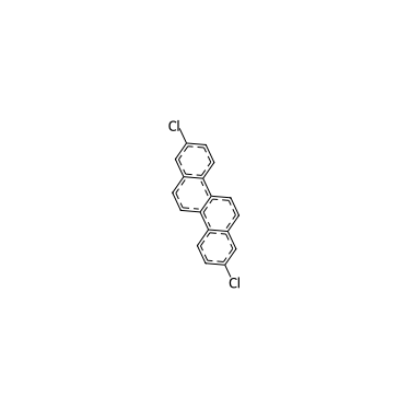 Clc1ccc2c(ccc3c4ccc(Cl)cc4ccc23)c1